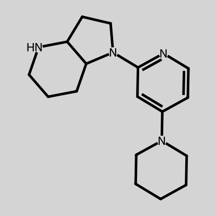 c1cc(N2CCCCC2)cc(N2CCC3NCCCC32)n1